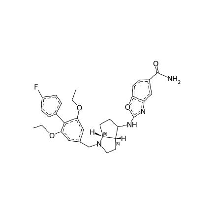 CCOc1cc(CN2CC[C@H]3C(Nc4nc5cc(C(N)=O)ccc5o4)CC[C@H]32)cc(OCC)c1-c1ccc(F)cc1